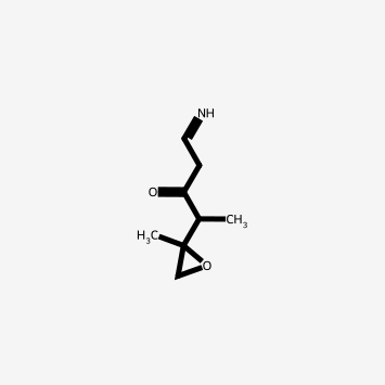 CC(C(=O)CC=N)C1(C)CO1